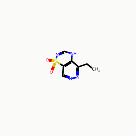 CCc1nncc2c1NC=NS2(=O)=O